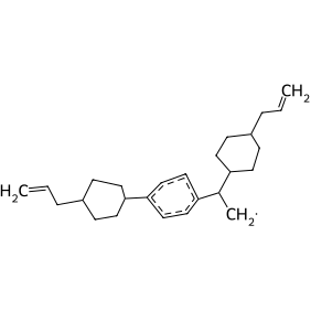 [CH2]C(c1ccc(C2CCC(CC=C)CC2)cc1)C1CCC(CC=C)CC1